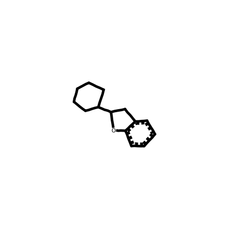 c1ccc2c(c1)CC(C1CCCCC1)O2